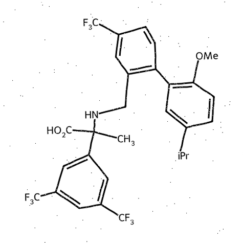 COc1ccc(C(C)C)cc1-c1ccc(C(F)(F)F)cc1CNC(C)(C(=O)O)c1cc(C(F)(F)F)cc(C(F)(F)F)c1